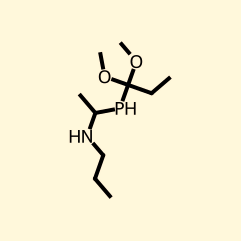 CCCNC(C)PC(CC)(OC)OC